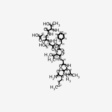 CSCC[C@H](NC(=O)[C@H](CC(C)C)NC(=O)CNC(=O)[C@@H](NC(=O)[C@H](Cc1ccccc1)NC(=O)[C@H](CO)NC(=O)[C@H](CC(=O)O)NC(=O)[C@@H](N)[C@@H](C)O)C(C)C)C(N)=O